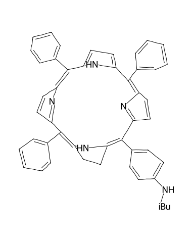 CCC(C)Nc1ccc(-c2c3nc(c(-c4ccccc4)c4ccc([nH]4)c(-c4ccccc4)c4nc(c(-c5ccccc5)c5[nH]c2CC5)C=C4)C=C3)cc1